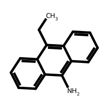 CCc1c2ccccc2c(N)c2ccccc12